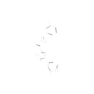 Cc1cccc([C@@H](C)NC(=O)c2cc(-c3ccncc3)n[nH]2)c1